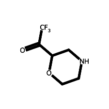 O=C(C1CNCCO1)C(F)(F)F